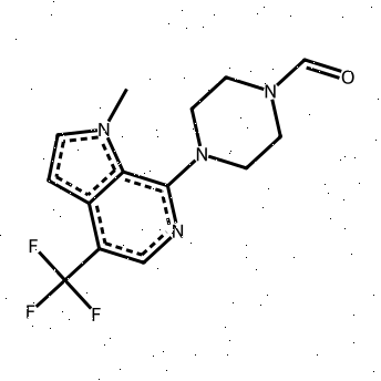 Cn1ccc2c(C(F)(F)F)cnc(N3CCN(C=O)CC3)c21